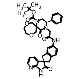 CC(C)(C)OC(=O)N1C[C@@H](c2ccccc2)N(CC(=O)Nc2ccc3c(c2)C[C@@]2(C3)C(=O)Nc3ncccc32)C(=O)C12COCCOC2